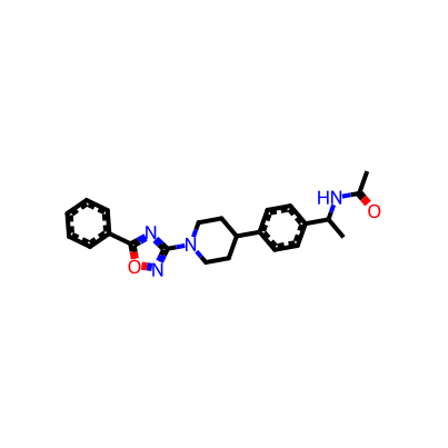 CC(=O)NC(C)c1ccc(C2CCN(c3noc(-c4ccccc4)n3)CC2)cc1